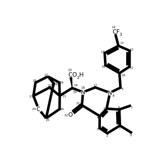 Cc1ccc2c(c1C)N(Cc1ccc(C(F)(F)F)cc1)CN([C@H](C(=O)O)C13CC4CC(CC(C4)C1)C3)C2=O